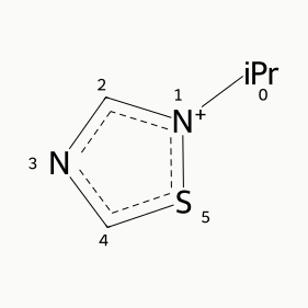 CC(C)[n+]1cncs1